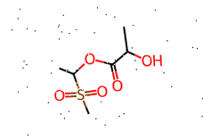 CC(O)C(=O)OC(C)S(C)(=O)=O